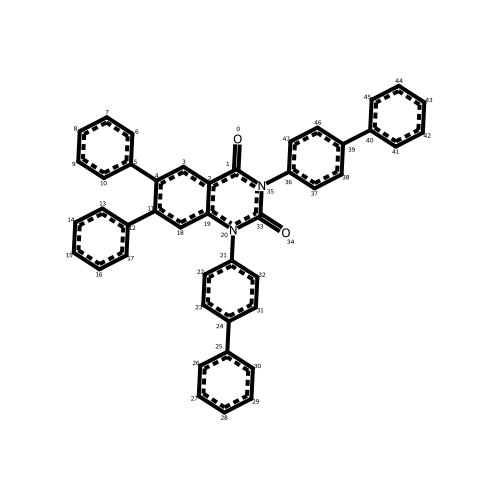 O=c1c2cc(-c3ccccc3)c(-c3ccccc3)cc2n(-c2ccc(-c3ccccc3)cc2)c(=O)n1-c1ccc(-c2ccccc2)cc1